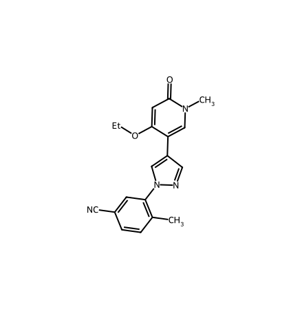 CCOc1cc(=O)n(C)cc1-c1cnn(-c2cc(C#N)ccc2C)c1